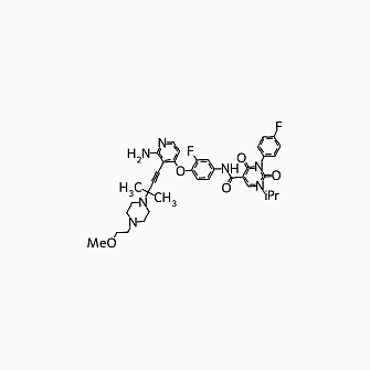 COCCN1CCN(C(C)(C)C#Cc2c(Oc3ccc(NC(=O)c4cn(C(C)C)c(=O)n(-c5ccc(F)cc5)c4=O)cc3F)ccnc2N)CC1